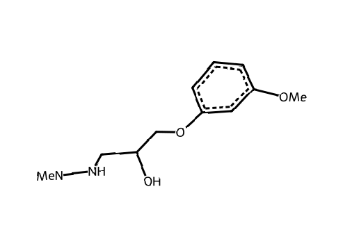 CNNCC(O)COc1cccc(OC)c1